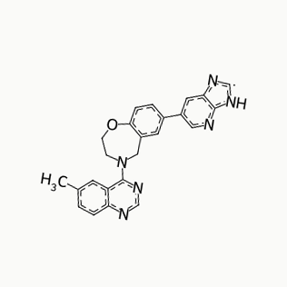 Cc1ccc2ncnc(N3CCOc4ccc(-c5cnc6[nH][c]nc6c5)cc4C3)c2c1